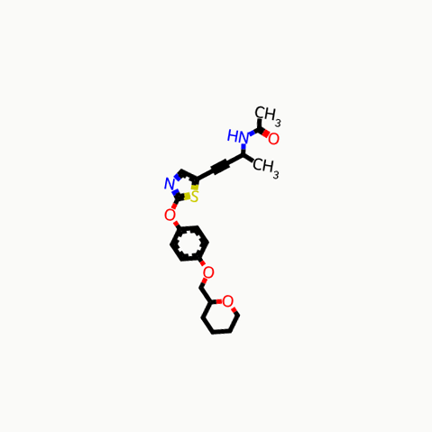 CC(=O)NC(C)C#Cc1cnc(Oc2ccc(OCC3CCCCO3)cc2)s1